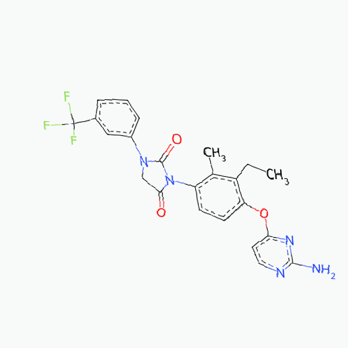 CCc1c(Oc2ccnc(N)n2)ccc(N2C(=O)CN(c3cccc(C(F)(F)F)c3)C2=O)c1C